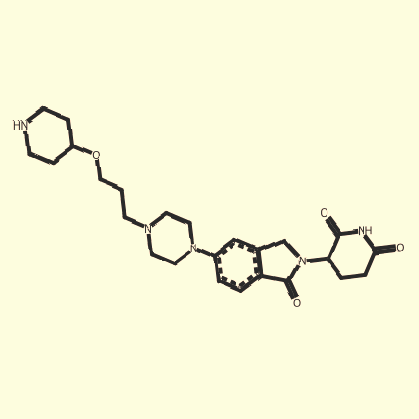 O=C1CCC(N2Cc3cc(N4CCN(CCCOC5CCNCC5)CC4)ccc3C2=O)C(=O)N1